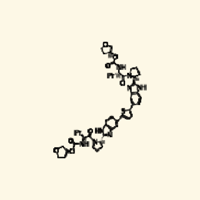 CC(C)[C@H](NC(=O)O[C@H]1CCOC1)C(=O)N1CCC[C@H]1c1nc2cc(-c3ccc(-c4ccc5[nH]c([C@@H]6CCCN6C(=O)[C@@H](NC(=O)O[C@H]6CCOC6)C(C)C)nc5c4)s3)ccc2[nH]1